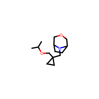 CC(C)OCC1(CN2C3CCC2COC3)CC1